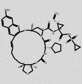 C=C[C@@H]1C[C@]1(NC(=O)[C@@H]1C[C@@H]2CN1C(=O)[C@H](C1CCCC1)NC(=O)O[C@H]1COC[C@@H]1CCC/C=C/c1cc3ccc(OC)cc3nc1O2)C(=O)NS(=O)(=O)C1CC1